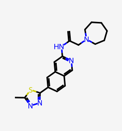 C=C(CN1CCCCCC1)Nc1cc2cc(-c3nnc(C)s3)ccc2cn1